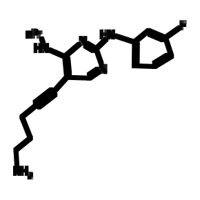 CCCNc1nc(Nc2cccc(F)c2)ncc1C#CCCCN